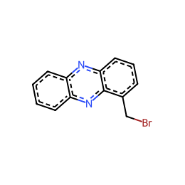 BrCc1cccc2nc3ccccc3nc12